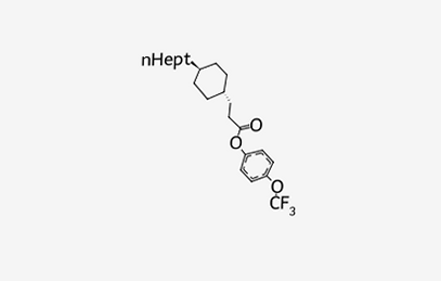 CCCCCCC[C@H]1CC[C@H](CCC(=O)Oc2ccc(OC(F)(F)F)cc2)CC1